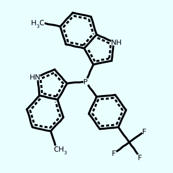 Cc1ccc2[nH]cc(P(c3ccc(C(F)(F)F)cc3)c3c[nH]c4ccc(C)cc34)c2c1